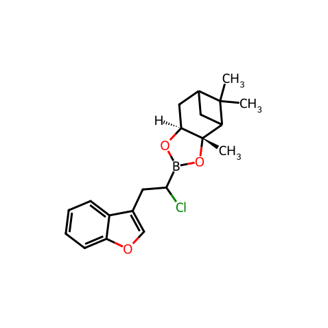 CC1(C)C2CC1[C@]1(C)OB(C(Cl)Cc3coc4ccccc34)O[C@H]1C2